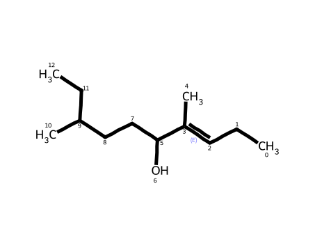 CC/C=C(\C)C(O)CCC(C)CC